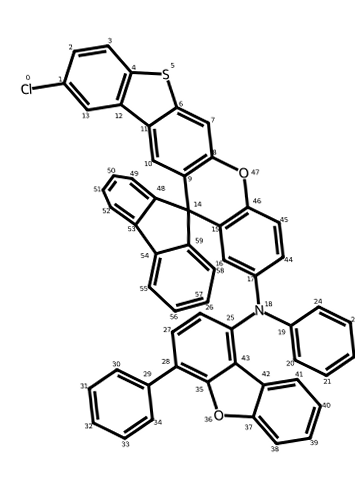 Clc1ccc2sc3cc4c(cc3c2c1)C1(c2cc(N(c3ccccc3)c3ccc(-c5ccccc5)c5oc6ccccc6c35)ccc2O4)c2ccccc2-c2ccccc21